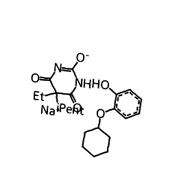 CCCC(C)C1(CC)C(=O)N=C([O-])NC1=O.Oc1ccccc1OC1CCCCC1.[Na+]